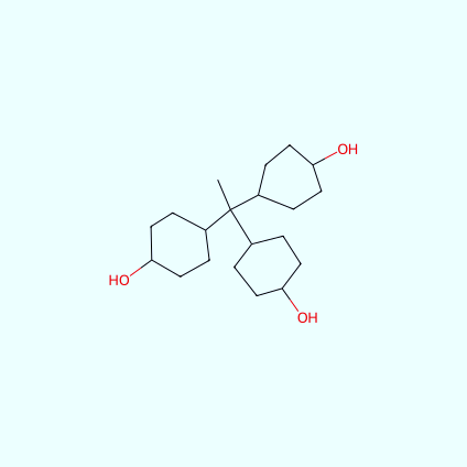 CC(C1CCC(O)CC1)(C1CCC(O)CC1)C1CCC(O)CC1